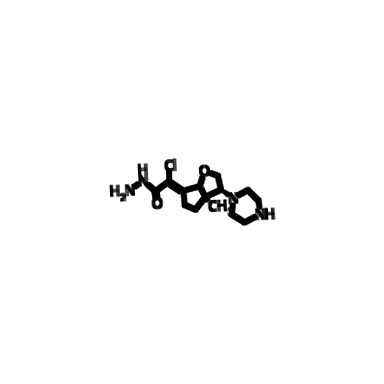 CC12CC/C(=C(/Cl)C(=O)NN)C1OC[C@H]2N1CCNCC1